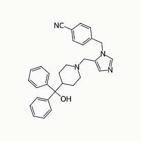 N#Cc1ccc(Cn2cncc2CN2CCC(C(O)(c3ccccc3)c3ccccc3)CC2)cc1